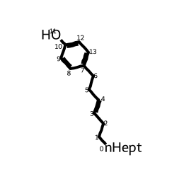 CCCCCCCCCC=CCCc1ccc(O)cc1